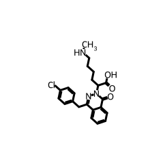 CNCCCCC(C(=O)O)n1nc(Cc2ccc(Cl)cc2)c2ccccc2c1=O